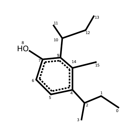 CCC(C)c1ccc(O)c(C(C)CC)c1C